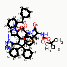 CC(C)(C)OC(=O)N[C@@H]1C(=O)N2C(C(=O)OC(c3ccccc3)c3ccccc3)=C(C(=C3CCNC3=O)C(c3nnn[nH]3)C(c3ccccc3)(c3ccccc3)c3ccccc3)CS[C@H]12